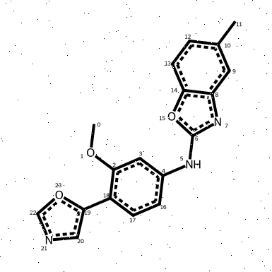 COc1cc(Nc2nc3cc(C)ccc3o2)ccc1-c1cnco1